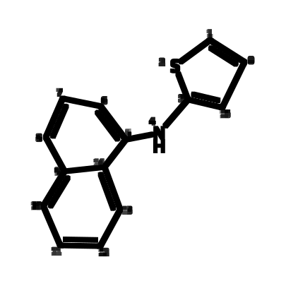 c1csc(Nc2cccc3ccccc23)c1